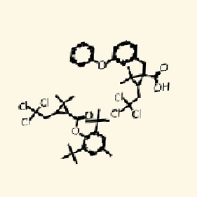 CC1(C)C(CC(Cl)(Cl)Cl)C1(Cc1cccc(Oc2ccccc2)c1)C(=O)O.Cc1cc(C(C)(C)C)c(OC(=O)C2C(CC(Cl)(Cl)Cl)C2(C)C)c(C(C)(C)C)c1